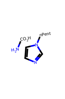 CCCCCn1ccnc1.NC(=O)O